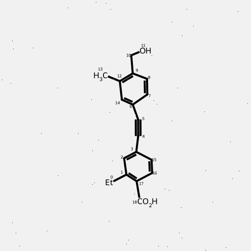 CCc1cc(C#Cc2ccc(CO)c(C)c2)ccc1C(=O)O